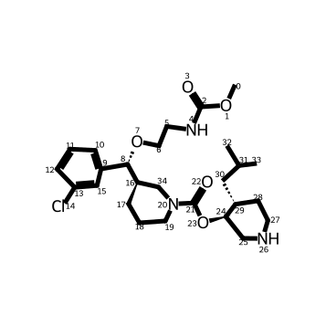 COC(=O)NCCO[C@@H](c1cccc(Cl)c1)[C@@H]1CCCN(C(=O)O[C@@H]2CNCC[C@H]2CC(C)C)C1